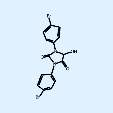 O=C1C(O)N(c2ccc(Br)cc2)C(=O)N1c1ccc(Br)cc1